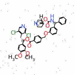 COc1ccc([C@H](Cc2c(Cl)cncc2Cl)OC(=O)c2ccc(COc3cccc([C@@H](NC(=O)O[C@H]4CN5CCC4CC5)c4ccccc4)c3)cc2)cc1OC